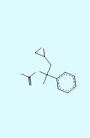 CC(CC1CO1)(OC(N)=O)c1ccccc1